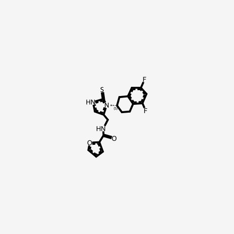 O=C(NCc1c[nH]c(=S)n1[C@H]1CCc2c(F)cc(F)cc2C1)c1ccco1